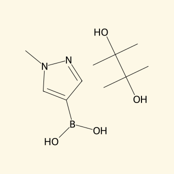 CC(C)(O)C(C)(C)O.Cn1cc(B(O)O)cn1